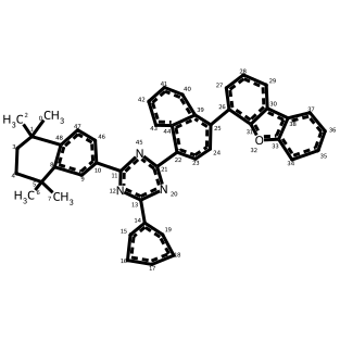 CC1(C)CCC(C)(C)c2cc(-c3nc(-c4ccccc4)nc(-c4ccc(-c5cccc6c5oc5ccccc56)c5ccccc45)n3)ccc21